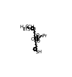 CCC(C)(C)Sc1cccc(SCCCn2c(=O)n(CCCSc3cccc(S)c3)c(=O)n(CCC(C)C)c2=O)c1